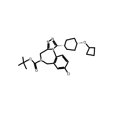 CC(C)(C)OC(=O)N1Cc2cc(Cl)ccc2-n2c(nnc2[C@H]2CC[C@@H](OC3CCC3)CC2)C1